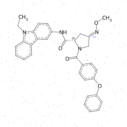 CCn1c2ccccc2c2cc(NC(=O)[C@@H]3C/C(=N\OC)CN3C(=O)c3ccc(Oc4ccccc4)cc3)ccc21